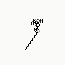 CCCCCCCCCCCCc1cnc(-c2ccc(O)c([N+](=O)[O-])c2)nc1